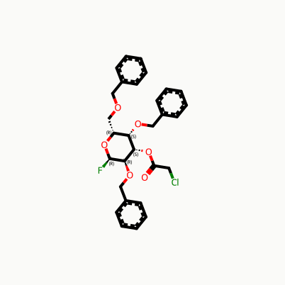 O=C(CCl)O[C@@H]1[C@@H](OCc2ccccc2)[C@@H](F)O[C@H](COCc2ccccc2)[C@@H]1OCc1ccccc1